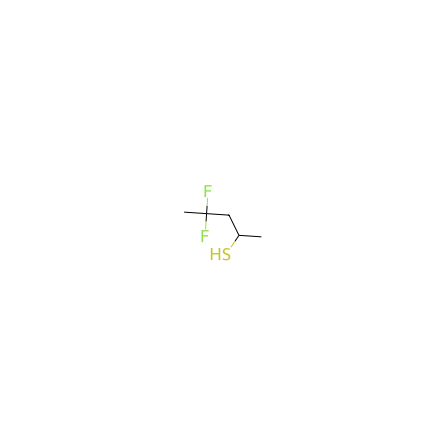 CC(S)CC(C)(F)F